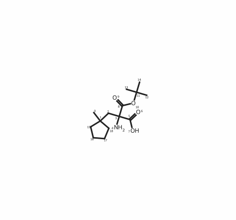 CC1(CC(N)(C(=O)O)C(=O)OC(C)(C)C)CCCC1